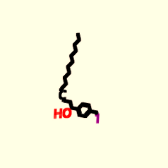 CCCCCCCCCCC=C=CCC(O)c1ccc(CI)cc1